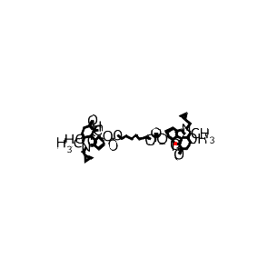 CC1N(CC2CC2)C2C[C@]34c5c2ccc(OC(=O)OCCCCCCOC(=O)Oc2ccc6c7c2O[C@H]2C(=O)CC[C@@]8(O)C(C)N(CC9CC9)C6C[C@]728)c5O[C@H]3C(=O)CC[C@@]14O